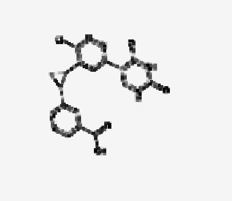 O=C(O)c1cccc(C2CC2c2cc(-c3c[nH]c(=O)[nH]c3=O)nnc2Cl)c1